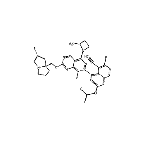 C#Cc1c(F)ccc2cc(OC(F)F)cc(-c3nc(N4CC[C@@H]4C)c4cnc(OC[C@@]56CCCN5C[C@H](F)C6)nc4c3F)c12